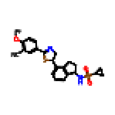 CC(C)Oc1ccc(C2=NCC(c3cccc4c3CCC4NS(=O)(=O)C3CC3)S2)cc1C#N